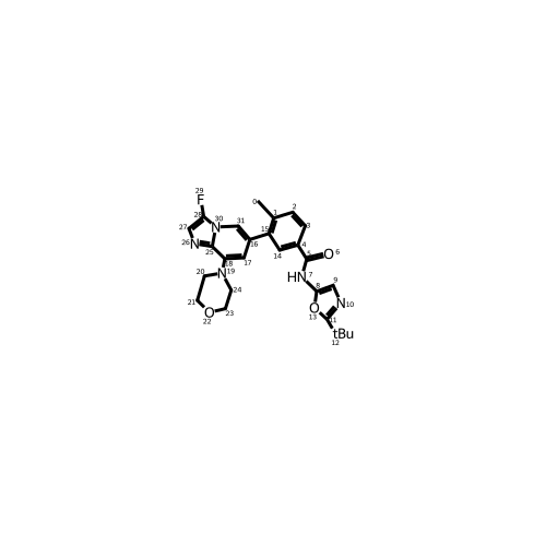 Cc1ccc(C(=O)Nc2cnc(C(C)(C)C)o2)cc1-c1cc(N2CCOCC2)c2ncc(F)n2c1